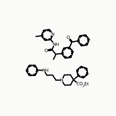 CCOC(=O)C1(c2ccccc2)CCN(CCCNc2ccccc2)CC1.Cc1ccnc(NC(=O)C(C)c2cccc(C(=O)c3ccccc3)c2)c1